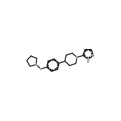 c1cc(N2CCC(c3ccc(SN4CCCC4)cc3)CC2)[nH]n1